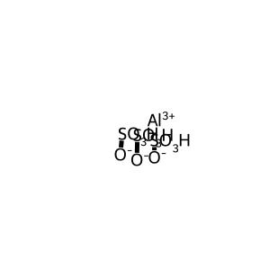 O=S(=O)([O-])O.O=S(=O)([O-])O.O=S(=O)([O-])O.[Al+3]